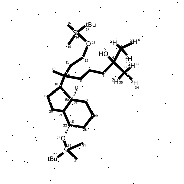 [2H]C([2H])([2H])C(O)(CCCC(C)(CCO[Si](C)(C)C(C)(C)C)C1CCC2[C@@H](O[Si](C)(C)C(C)(C)C)CCC[C@@]21C)C([2H])([2H])[2H]